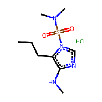 CCCc1c(NC)ncn1S(=O)(=O)N(C)C.Cl